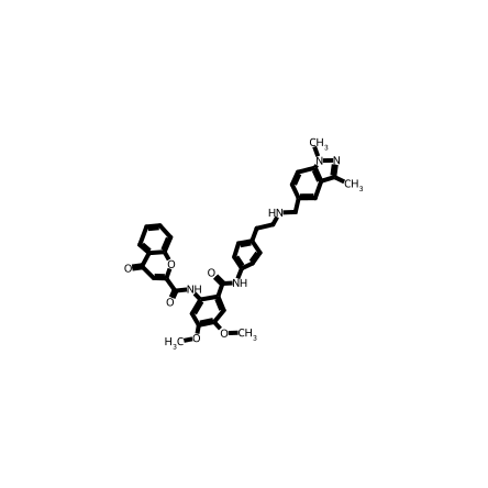 COc1cc(NC(=O)c2cc(=O)c3ccccc3o2)c(C(=O)Nc2ccc(CCNCc3ccc4c(c3)c(C)nn4C)cc2)cc1OC